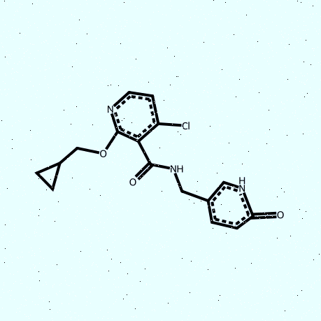 O=C(NCc1ccc(=O)[nH]c1)c1c(Cl)ccnc1OCC1CC1